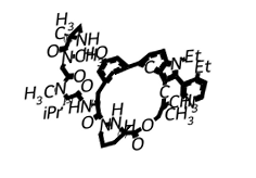 CCc1ccncc1-c1c2c3cc(ccc3n1CC)-c1cc(O)cc(c1)C[C@H](NC(=O)[C@H](C(C)C)N(C)C(=O)CN(C)C(=O)[C@@]1(C)CN1)C(=O)N1CCC[C@H](N1)C(=O)OCC(C)(C)C2